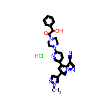 Cl.Cn1cc(-c2cc(-c3ccc(N4CCN(C(=O)C(O)c5ccccc5)CC4)nc3)c3c(C#N)cnn3c2)cn1